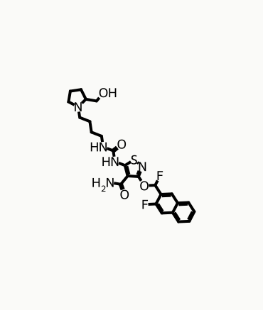 NC(=O)c1c(OC(F)c2cc3ccccc3cc2F)nsc1NC(=O)NCCCCN1CCCC1CO